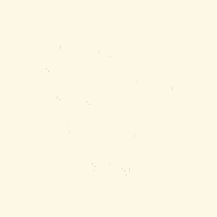 Cc1cc(C)cc(C(=O)c2c(C(C)C)c(=N)[nH]c(=O)n2Cc2ccnc(N)c2)c1